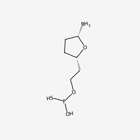 B[C@H]1CC[C@@H](CCOP(O)S)O1